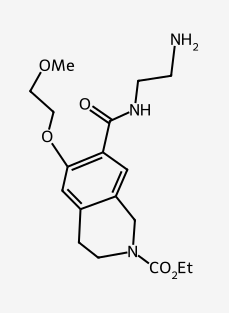 CCOC(=O)N1CCc2cc(OCCOC)c(C(=O)NCCN)cc2C1